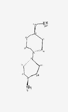 CCC[C@H]1CC[C@H]([C@H]2CC[C@H](OCC)CC2)CC1